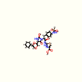 COC(=O)c1csc(NC(=O)[C@H](Cc2ccc(NS(C)(=O)=O)cc2)N2C(=O)NC(C3=COC=C(C4=CC=CCC4)O3)C2=O)n1